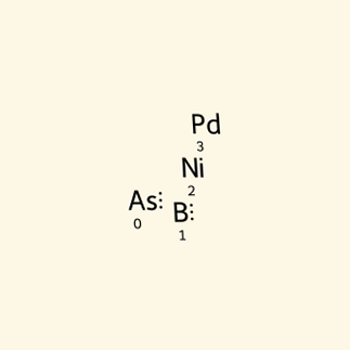 [As].[B].[Ni].[Pd]